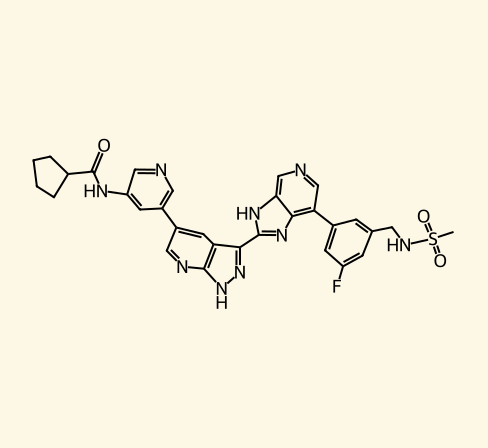 CS(=O)(=O)NCc1cc(F)cc(-c2cncc3[nH]c(-c4n[nH]c5ncc(-c6cncc(NC(=O)C7CCCC7)c6)cc45)nc23)c1